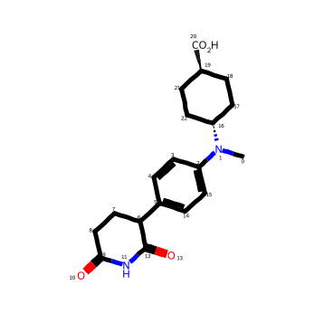 CN(c1ccc(C2CCC(=O)NC2=O)cc1)[C@H]1CC[C@H](C(=O)O)CC1